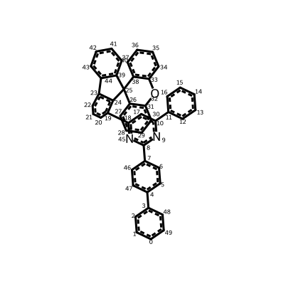 c1ccc(-c2ccc(-c3nc(-c4ccccc4)cc(-c4cccc5c4C4(c6ccccc6Oc6ccccc64)c4ccccc4-5)n3)cc2)cc1